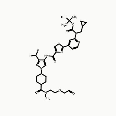 CN(CCOCC=O)C(=O)C1CCC(n2cc(NC(=O)c3coc(-c4ccnc(N(CC5CC5)C(=O)OC(C)(C)C)c4)n3)c(C(F)F)n2)CC1